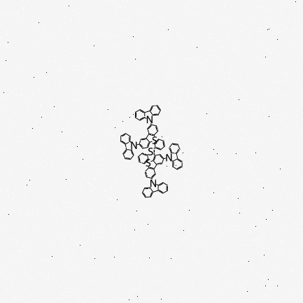 c1ccc([Si](c2ccccc2)(c2cc(-n3c4ccccc4c4ccccc43)cc3c2sc2ccc(-n4c5ccccc5c5ccccc54)cc23)c2cc(-n3c4ccccc4c4ccccc43)cc3c2sc2ccc(-n4c5ccccc5c5ccccc54)cc23)cc1